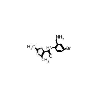 Cc1nc(C)c(C(=O)Nc2ccc(Br)cc2CN)s1